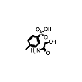 Cc1ccc(S(=O)(=O)O)cc1.NC(=O)CO